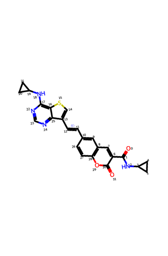 O=C(NC1CC1)c1cc2cc(/C=C/c3csc4c(NC5CC5)ncnc34)ccc2oc1=O